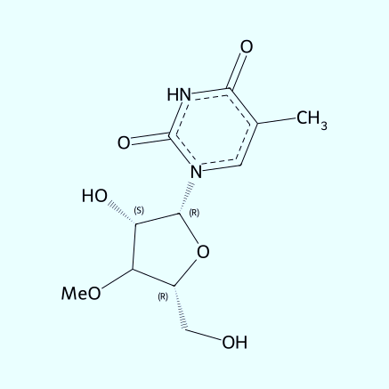 COC1[C@@H](CO)O[C@@H](n2cc(C)c(=O)[nH]c2=O)[C@H]1O